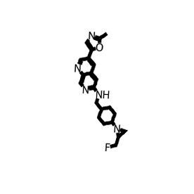 Cc1ncc(-c2cnc3cnc(NCC4CCC(N5CC5CF)CC4)cc3c2)o1